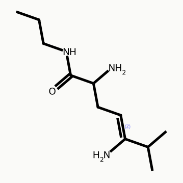 CCCNC(=O)C(N)C/C=C(\N)C(C)C